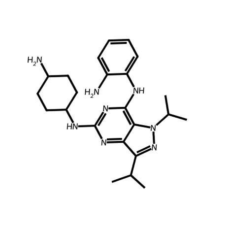 CC(C)c1nn(C(C)C)c2c(Nc3ccccc3N)nc(NC3CCC(N)CC3)nc12